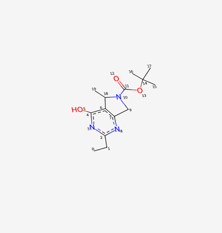 CCc1nc(O)c2c(n1)CN(C(=O)OC(C)(C)C)C2C